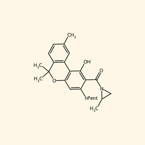 CCCCCc1cc2c(c(O)c1C(=O)N1CC1C)-c1cc(C)ccc1C(C)(C)O2